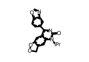 CC(C)n1c(=O)nc(-c2ccc3ocnc3c2)c2cc3c(cc21)COO3